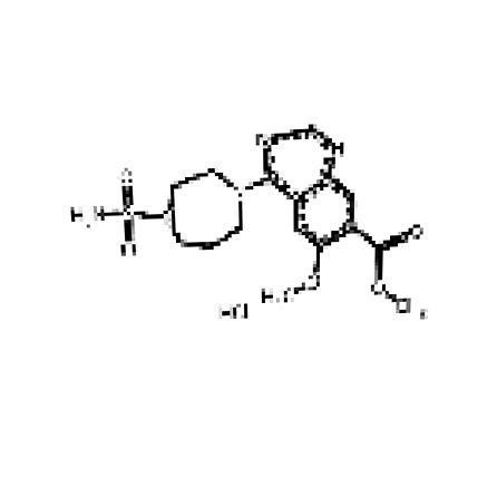 COC(=O)c1cc2ncnc(N3CCCN(S(N)(=O)=O)CC3)c2cc1OC.Cl